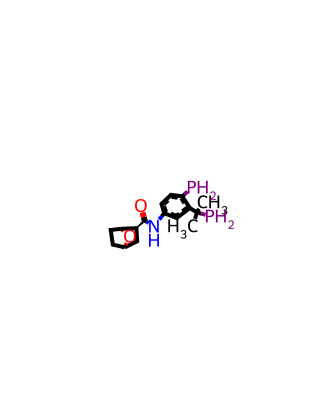 CC(C)(P)c1cc(NC(=O)[C@H]2CC3CCC2O3)ccc1P